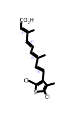 CC(/C=C/c1c(Cl)sc(Cl)c1C)=C\C=C\C(C)=C\C(=O)O